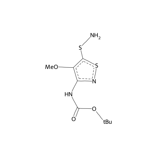 COc1c(NC(=O)OC(C)(C)C)nsc1SN